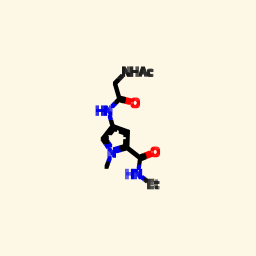 CCNC(=O)c1cc(NC(=O)CNC(C)=O)cn1C